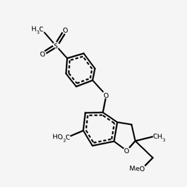 COCC1(C)Cc2c(Oc3ccc(S(C)(=O)=O)cc3)cc(C(=O)O)cc2O1